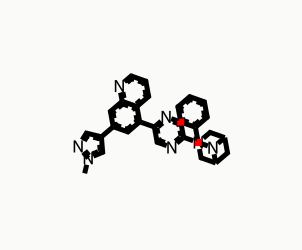 Cn1cc(-c2cc(-c3cnc(N4CC5CC(C4)N5Cc4ccccc4)cn3)c3cccnc3c2)cn1